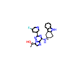 C[C@@H](O)c1cnc2c(N[C@@H]3CCc4[nH]c5ccccc5c4C3)nc(-c3cncc(F)c3)nn12